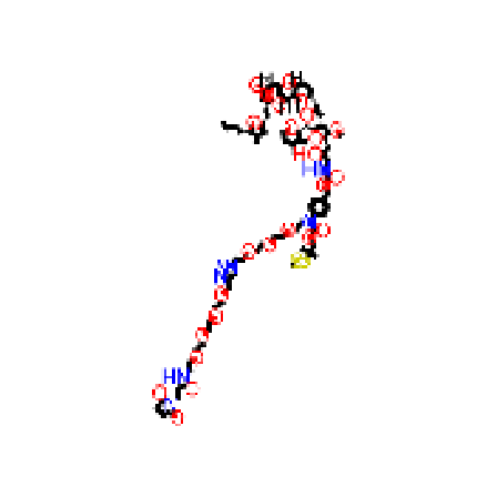 C=C1C[C@H](CC[C@]23C[C@@H](OC)[C@H](O2)C2C[C@@H](O3)[C@H]3O[C@@H](CC(=O)C[C@@H]4[C@@H](OC)[C@@H](C[C@H](O)CNC(=O)OCc5ccc(N(CCOCCOCCOCCn6cc(COCCOCCOCCOCCNC(=O)CCN7C(=O)C=CC7=O)nn6)C(=O)OCC(C)(C)SSC)cc5)O[C@H]4C[C@H]4OCC[C@@H](C)C4=C)CC[C@@H]3O2)O[C@H]1CCCC